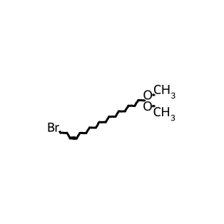 CCOC(CCCCCCCCCCCCC/C=C\CCBr)OCC